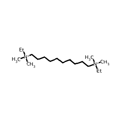 CC[N+](C)(C)CCCCCCCCCC[N+](C)(C)CC